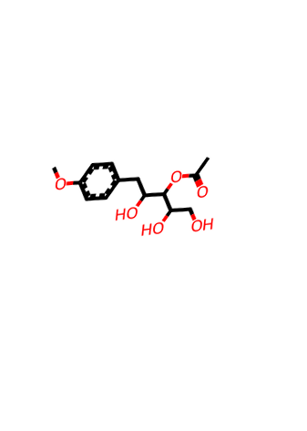 COc1ccc(CC(O)C(OC(C)=O)C(O)CO)cc1